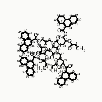 C=CC(=O)OC(COC(=O)C1=C2C=CC=CC2C2C=CC=CC2=C1)CN1C(=O)N(CC(COC(=O)c2cc3ccccc3c3ccccc23)OC(=O)C=C)C2C1N(CC(COC(=O)c1cc3ccccc3c3ccccc13)OC(=O)C=C)C(=O)N2CC(COC(=O)c1cc2ccccc2c2ccccc12)OC(=O)C=C